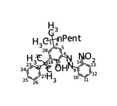 CCCCCC(C)(C)c1cc(N=Nc2ccccc2[N+](=O)[O-])c(O)c(C(C)(C)c2ccccc2)c1